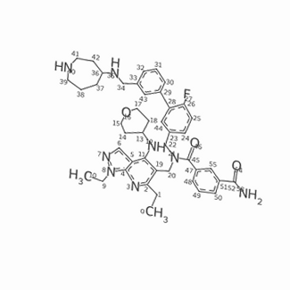 CCc1nc2c(cnn2CC)c(NC2CCOCC2)c1CN(Cc1ccc(F)c(-c2cccc(CNC3CCCNCC3)c2)c1)C(=O)c1cccc(C(N)=O)c1